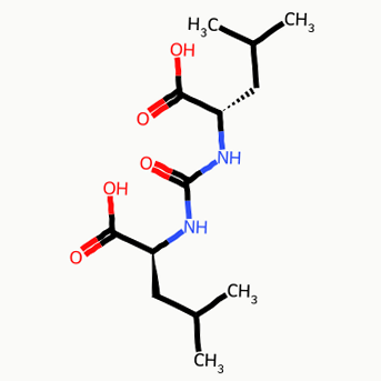 CC(C)C[C@H](NC(=O)N[C@@H](CC(C)C)C(=O)O)C(=O)O